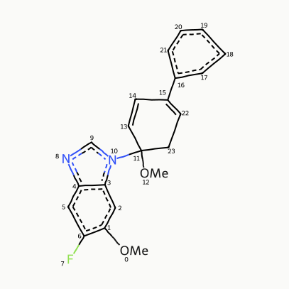 COc1cc2c(cc1F)ncn2C1(OC)C=CC(c2ccccc2)=CC1